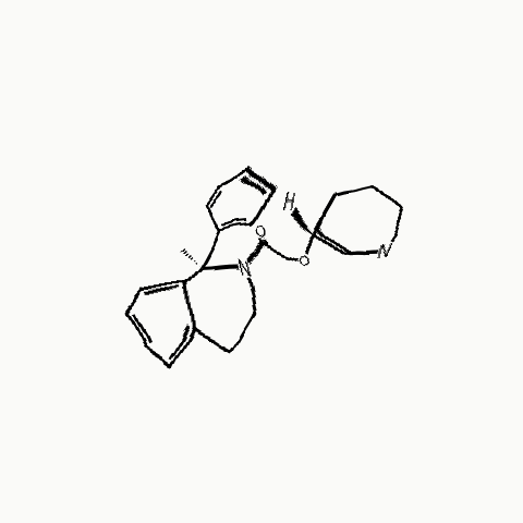 C[C@@]1(c2ccccc2)c2ccccc2CCN1C(=O)O[C@H]1CN2CCC1CC2